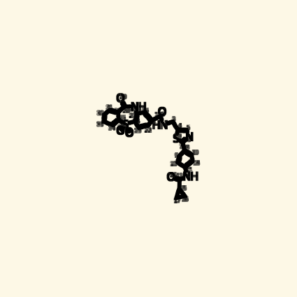 O=C(NCc1cnc(-c2ccc(NC(=O)C3CC3)cc2)s1)c1ccc2c(c1)NC(=O)c1ccccc1S2(=O)=O